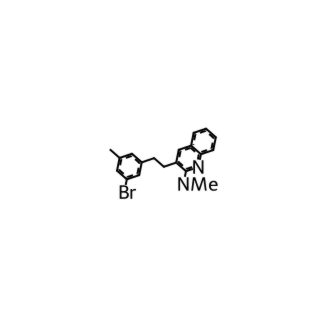 CNc1nc2ccccc2cc1CCc1cc(C)cc(Br)c1